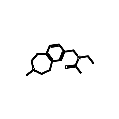 CCN(Cc1ccc2c(c1)CCN(C)CC2)C(C)=O